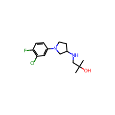 CC(C)(O)CNC1CCN(c2ccc(F)c(Cl)c2)C1